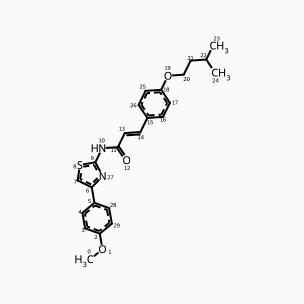 COc1ccc(-c2csc(NC(=O)/C=C/c3ccc(OCCC(C)C)cc3)n2)cc1